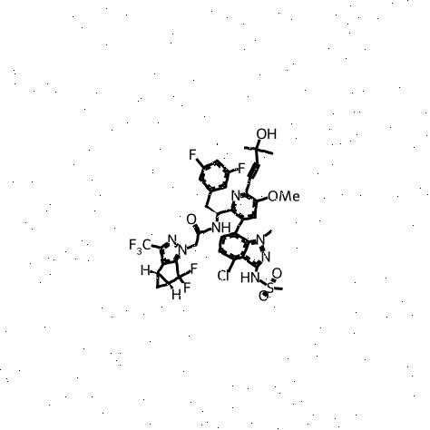 COc1cc(-c2ccc(Cl)c3c(NS(C)(=O)=O)nn(C)c23)c([C@H](Cc2cc(F)cc(F)c2)NC(=O)Cn2nc(C(F)(F)F)c3c2C(F)(F)[C@@H]2C[C@H]32)nc1C#CC(C)(C)O